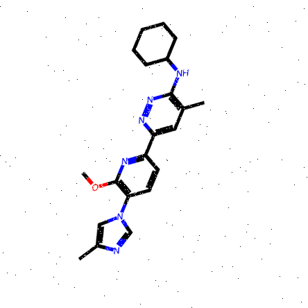 COc1nc(-c2cc(C)c(NC3CCCCC3)nn2)ccc1-n1cnc(C)c1